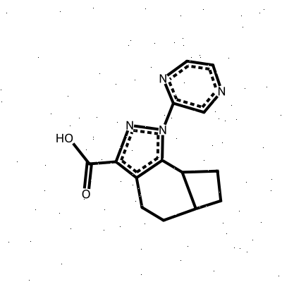 O=C(O)c1nn(-c2cnccn2)c2c1CCC1CCC21